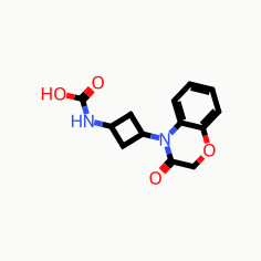 O=C(O)NC1CC(N2C(=O)COc3ccccc32)C1